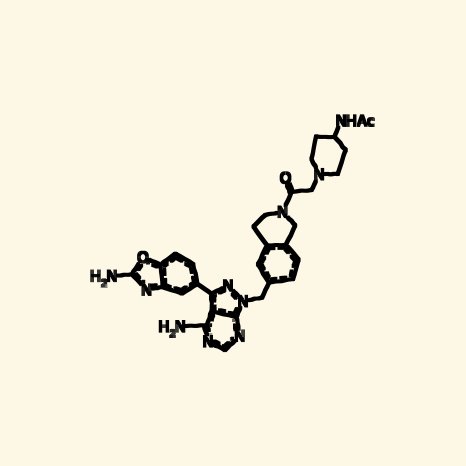 CC(=O)NC1CCN(CC(=O)N2CCc3cc(Cn4nc(-c5ccc6oc(N)nc6c5)c5c(N)ncnc54)ccc3C2)CC1